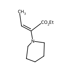 CC=C(C(=O)OCC)N1CCCCC1